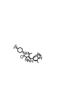 Cc1cc(-c2[nH]nc(C(=O)NC3CCC(N(C)C)CC3)c2C(C)C)cn2ncnc12